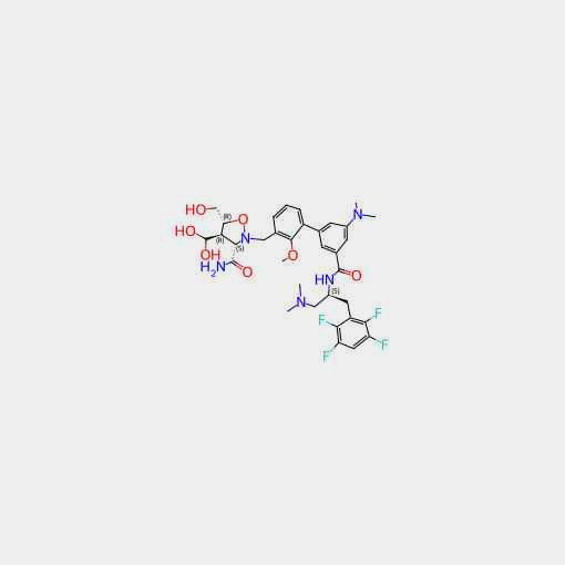 COc1c(CN2O[C@@H](CO)[C@H](C(O)O)[C@H]2C(N)=O)cccc1-c1cc(C(=O)N[C@@H](Cc2c(F)c(F)cc(F)c2F)CN(C)C)cc(N(C)C)c1